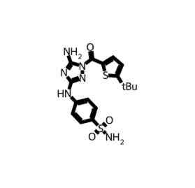 CC(C)(C)c1ccc(C(=O)n2nc(Nc3ccc(S(N)(=O)=O)cc3)nc2N)s1